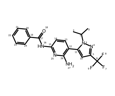 CC(C)n1nc(C(F)(F)F)cc1-c1ccc(NC(=O)c2ccccc2)nc1N